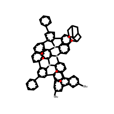 CC(C)(C)c1cc2c3c(c1)N(c1c(-c4ccccc4)cc(-c4ccccc4)cc1-c1ccccc1)c1cc(-n4c5ccc(C(C)(C)C)cc5c5cc(C(C)(C)C)ccc54)ccc1B3c1ccc(N3C4CC5CC(C4)CC3C5)cc1N2c1c(-c2ccccc2)cc(-c2ccccc2)cc1-c1ccccc1